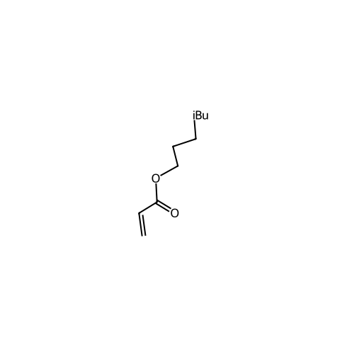 C=CC(=O)OCCCC(C)CC